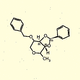 CC1OCC(OCc2ccccc2)[C@H]2O[C@@H](c3ccccc3)O[C@H]12